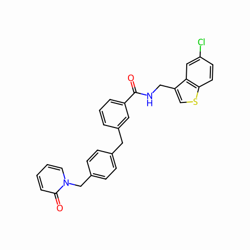 O=C(NCc1csc2ccc(Cl)cc12)c1cccc(Cc2ccc(Cn3ccccc3=O)cc2)c1